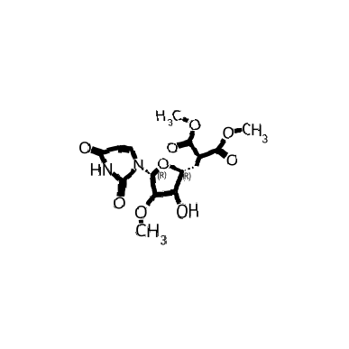 COC(=O)C(C[C@H]1O[C@@H](n2ccc(=O)[nH]c2=O)C(OC)C1O)C(=O)OC